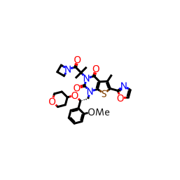 COc1ccccc1[C@@H](Cn1c(=O)n(C(C)(C)C(=O)N2CCC2)c(=O)c2c(C)c(-c3ncco3)sc21)OC1CCOCC1